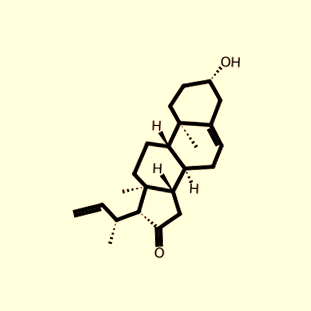 C=C[C@@H](C)[C@H]1C(=O)C[C@H]2[C@@H]3CC=C4C[C@@H](O)CC[C@]4(C)[C@H]3CC[C@]12C